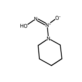 [O-]/[N+](=N/O)N1CCCCC1